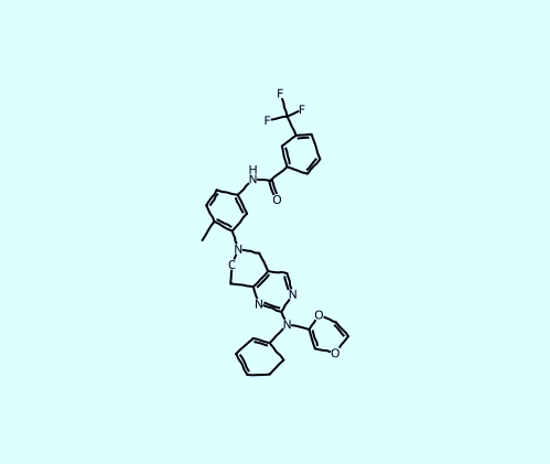 Cc1ccc(NC(=O)c2cccc(C(F)(F)F)c2)cc1N1CCc2nc(N(C3=CC=CCC3)C3=COC=CO3)ncc2C1